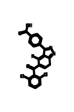 O=C(O)c1ccc(C2=NN=C3CC=C(C(=O)c4c(Cl)cccc4Cl)C(F)=C32)cc1